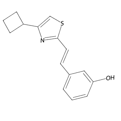 Oc1cccc(C=Cc2nc(C3CCC3)cs2)c1